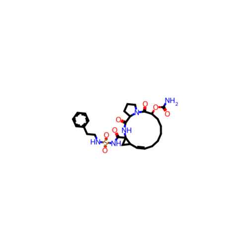 NC(=O)OC1CCCCC/C=C\C2CC2(C(=O)NS(=O)(=O)NCCc2ccccc2)NC(=O)C2CCCN2C1=O